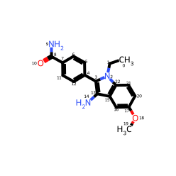 CCn1c(-c2ccc(C(N)=O)cc2)c(N)c2cc(OC)ccc21